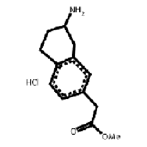 COC(=O)Cc1ccc2c(c1)CC(N)CC2.Cl